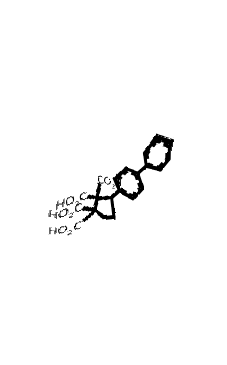 O=C(O)C1(C(=O)O)CCC(c2ccc(-c3ccccc3)cc2)C1(C(=O)O)C(=O)O